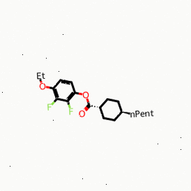 CCCCC[C@H]1CC[C@H](C(=O)Oc2ccc(OCC)c(F)c2F)CC1